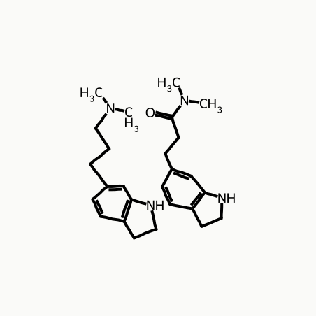 CN(C)C(=O)CCc1ccc2c(c1)NCC2.CN(C)CCCc1ccc2c(c1)NCC2